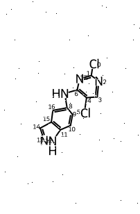 Clc1ncc(Cl)c(Nc2ccc3[nH]ncc3c2)n1